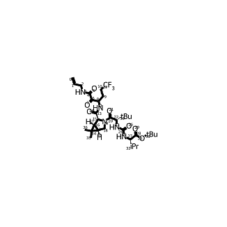 C=CCNC(=O)C(=O)C(CCC(F)(F)F)NC(=O)[C@@H]1[C@@H]2[C@H](CN1C(=O)[C@@H](NC(=O)N[C@H](C(=O)OC(C)(C)C)C(C)C)C(C)(C)C)C2(C)C